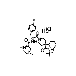 CN1CCN[C@H](C(=O)N[C@H](Cc2ccc(F)cc2)C(=O)N2CCC(C(=O)NC(C)(C)C)(C3CCCCC3)CC2)C1.Cl.Cl